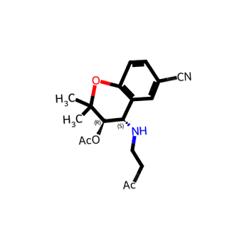 CC(=O)CCN[C@H]1c2cc(C#N)ccc2OC(C)(C)[C@@H]1OC(C)=O